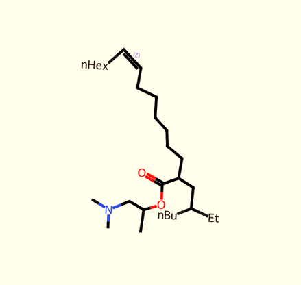 CCCCCC/C=C\CCCCCCC(CC(CC)CCCC)C(=O)OC(C)CN(C)C